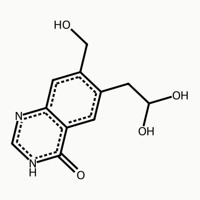 O=c1[nH]cnc2cc(CO)c(CC(O)O)cc12